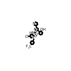 O=C(Nc1cc(Cl)cn(Cc2ccc(C(F)(F)F)cc2)c1=O)N1N=C(c2cccnc2)CC1c1ccccc1O